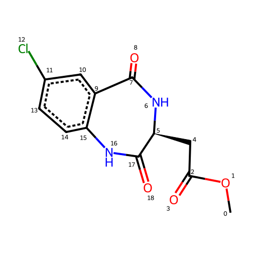 COC(=O)C[C@@H]1NC(=O)c2cc(Cl)ccc2NC1=O